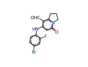 O=Cc1c(Nc2ccc(Br)cc2F)cc(=O)n2c1CCC2